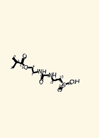 C=C(C)C(=O)OCCNC(=O)NCCS(=O)O